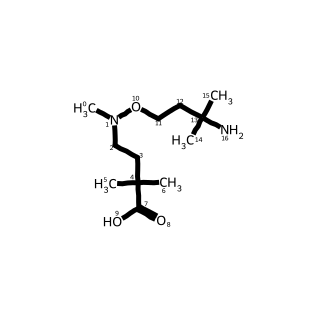 CN(CCC(C)(C)C(=O)O)OCCC(C)(C)N